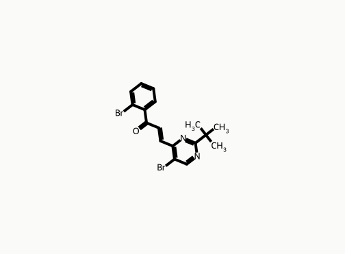 CC(C)(C)c1ncc(Br)c(/C=C/C(=O)c2ccccc2Br)n1